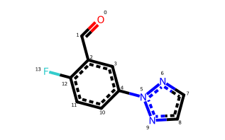 O=Cc1cc(-n2nccn2)ccc1F